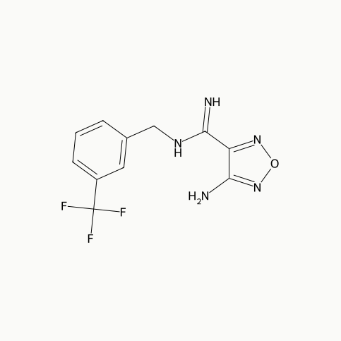 N=C(NCc1cccc(C(F)(F)F)c1)c1nonc1N